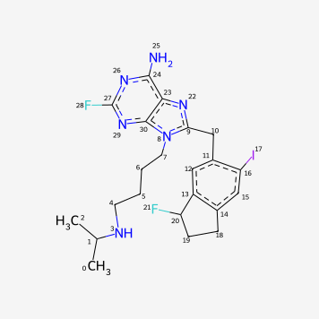 CC(C)NCCCCn1c(Cc2cc3c(cc2I)CCC3F)nc2c(N)nc(F)nc21